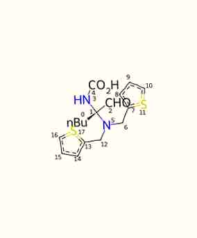 CCCC[C@](C=O)(NC(=O)O)N(Cc1cccs1)Cc1cccs1